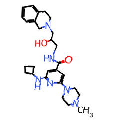 CN1CCN(c2cc(C(=O)NCC(O)CN3CCc4ccccc4C3)cc(NC3CCC3)n2)CC1